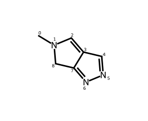 CN1C=C2C=NN=C2C1